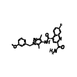 COc1cccc(Cn2nc(C)c(NC(=O)c3cc(C(N)=O)nc4cc(F)ccc34)c2C)c1